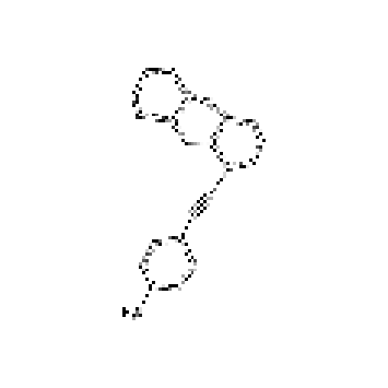 Nc1ccc(C#Cc2cccc3cc4ccccc4cc23)cc1